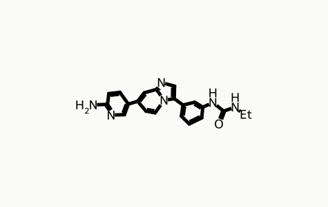 CCNC(=O)Nc1cccc(-c2cnc3cc(-c4ccc(N)nc4)ccn23)c1